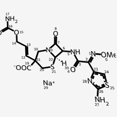 CON=C(C(=O)NC1C(=O)N2CC(C=CCOC(N)=O)(C(=O)[O-])CS[C@H]12)c1csc(N)n1.[Na+]